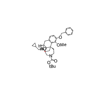 COc1c(OCc2ccccc2)ccc2c1[C@@]13CCN(C(=O)OC(C)(C)C)CC[C@@]1(O)[C@@H](C2)N(CC1CC1)CC3